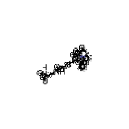 CCC1(OC(=O)OCCSSCCOC(=O)NCCCCC2NC(=O)OC2=O)C(=O)OCC2=C1/C=C1/c3nc4ccccc4cc3CCC1CCC2=O